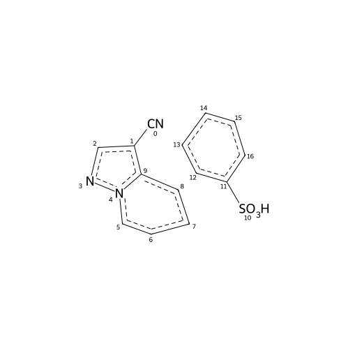 N#Cc1cnn2ccccc12.O=S(=O)(O)c1ccccc1